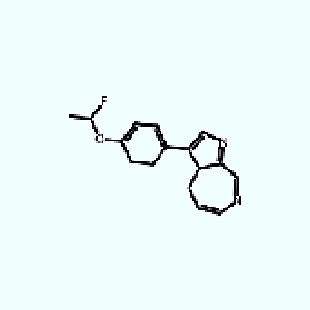 CC(F)OC1=CC=C(C2=CN=C3C=NC=CCC23)CC1